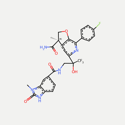 Cn1c(=O)[nH]c2ccc(C(=O)NCC(O)(c3cc4c(c(-c5ccc(F)cc5)n3)OC[C@]4(C)C(N)=O)C(F)(F)F)cc21